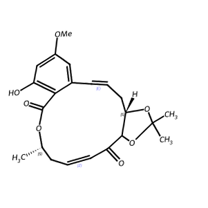 COc1cc(O)c2c(c1)/C=C/C[C@@H]1OC(C)(C)OC1C(=O)/C=C\C[C@H](C)OC2=O